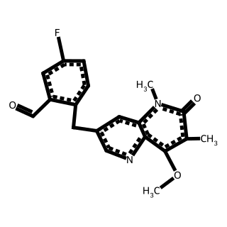 COc1c(C)c(=O)n(C)c2cc(Cc3ccc(F)cc3C=O)cnc12